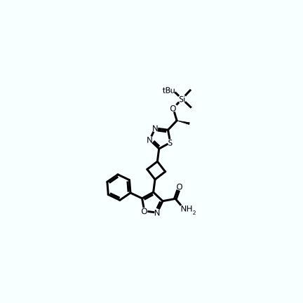 C[C@H](O[Si](C)(C)C(C)(C)C)c1nnc(C2CC(c3c(C(N)=O)noc3-c3ccccc3)C2)s1